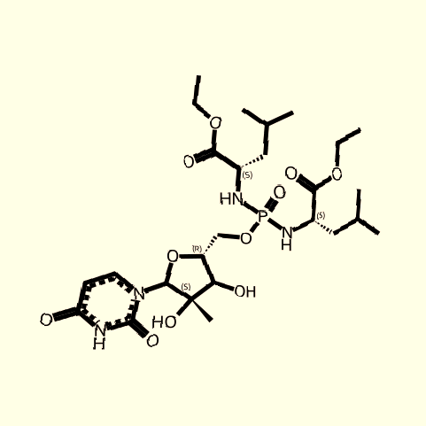 CCOC(=O)[C@H](CC(C)C)NP(=O)(N[C@@H](CC(C)C)C(=O)OCC)OC[C@H]1OC(n2ccc(=O)[nH]c2=O)[C@@](C)(O)C1O